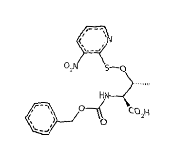 C[C@@H](OSc1ncccc1[N+](=O)[O-])[C@H](NC(=O)OCc1ccccc1)C(=O)O